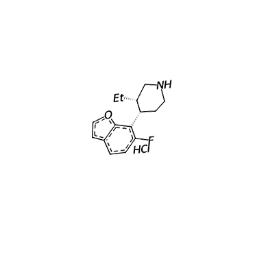 CC[C@@H]1CNCC[C@@H]1c1c(F)ccc2ccoc12.Cl